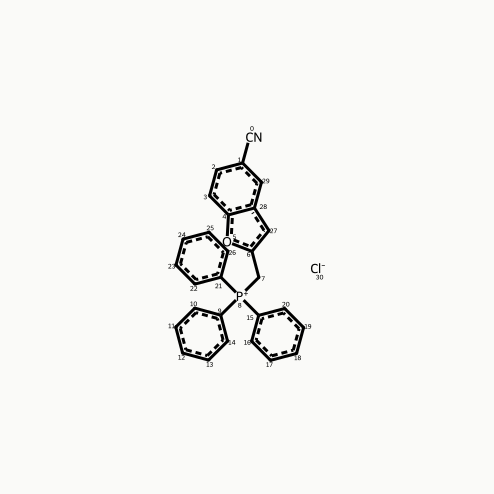 N#Cc1ccc2oc(C[P+](c3ccccc3)(c3ccccc3)c3ccccc3)cc2c1.[Cl-]